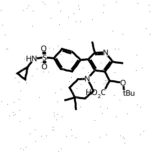 Cc1nc(C)c(C(OC(C)(C)C)C(=O)O)c(N2CCC(C)(C)CC2)c1-c1ccc(S(=O)(=O)NC2CC2)cc1